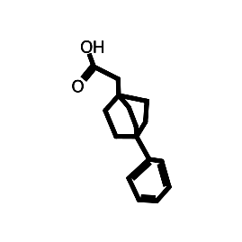 O=C(O)CC12CCC(c3ccccc3)(CC1)CC2